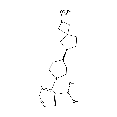 CCOC(=O)N1CC2(CC[C@@H](N3CCN(c4ncccc4B(O)O)CC3)C2)C1